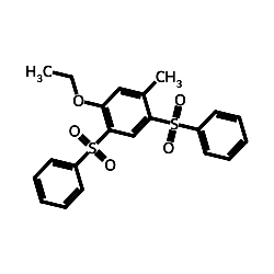 CCOc1cc(C)c(S(=O)(=O)c2ccccc2)cc1S(=O)(=O)c1ccccc1